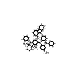 CC(C)(C)c1ccc2c(c1)N(c1ccccc1)c1cccc3c1B2c1cc2c(cc1N3c1cccc3c1oc1ccccc13)N(c1ccccc1)C1(C)CCCCC21C